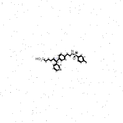 Cc1ccc(S(=O)(=O)NCCc2ccc(/C(=C/CCCC(=O)O)c3cccnc3)cc2)cc1